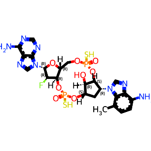 Cc1ccc(N)c2ncn([C@@H]3C[C@@H]4OP(=O)(S)O[C@H]5[C@@H](F)[C@H](n6cnc7c(N)ncnc76)O[C@@H]5COP(=O)(S)O[C@@H]3[C@@H]4O)c12